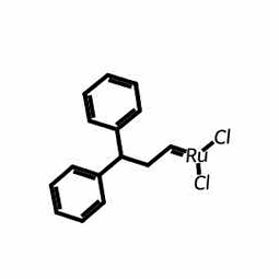 [Cl][Ru]([Cl])=[CH]CC(c1ccccc1)c1ccccc1